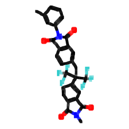 Cc1cccc(N2C(=O)c3ccc(CC(c4ccc5c(c4)C(=O)N(C)C5=O)(C(F)(F)F)C(F)(F)F)cc3C2=O)c1